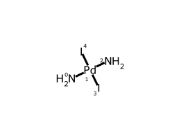 [NH2][Pd]([NH2])([I])[I]